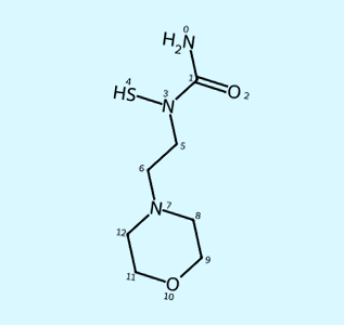 NC(=O)N(S)CCN1CCOCC1